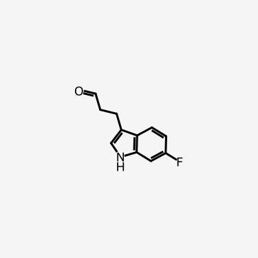 O=CCCc1c[nH]c2cc(F)ccc12